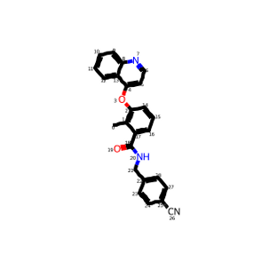 Cc1c(Oc2ccnc3ccccc23)cccc1C(=O)NCc1ccc(C#N)cc1